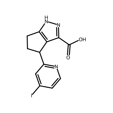 O=C(O)c1n[nH]c2c1C(c1cc(I)ccn1)CC2